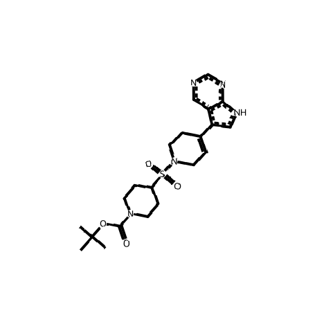 CC(C)(C)OC(=O)N1CCC(S(=O)(=O)N2CC=C(c3c[nH]c4ncncc34)CC2)CC1